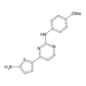 Bc1ccc(-c2ccnc(Nc3ccc(OC)cc3)n2)s1